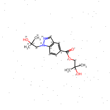 CC(C)(O)COC(=O)c1ccc2c(cnn2CC(C)(C)O)c1